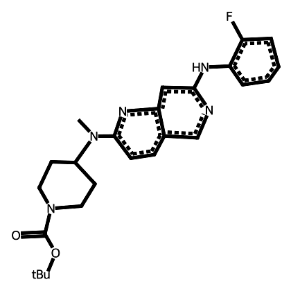 CN(c1ccc2cnc(Nc3ccccc3F)cc2n1)C1CCN(C(=O)OC(C)(C)C)CC1